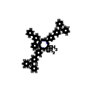 C=C1/C=C(c2ccc(-c3ccc(N(c4ccccc4)c4ccccc4)cc3)cc2)\C=C/N(c2ccc(-c3ccccc3)cc2-c2ccccc2)/C=C\C(c2ccc(-c3ccc(N(c4ccccc4)c4ccccc4)cc3)cc2)=C/C1=C